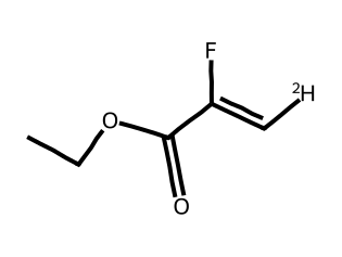 [2H]/C=C(\F)C(=O)OCC